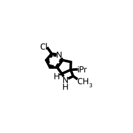 CC(C)C12Cc3nc(Cl)ccc3[C@H]1NC2C